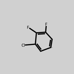 Fc1c[c]cc(Cl)c1F